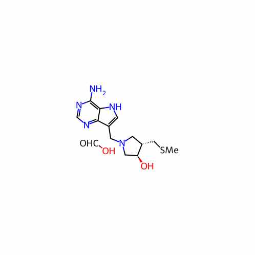 CSC[C@H]1CN(Cc2c[nH]c3c(N)ncnc23)C[C@@H]1O.O=CO